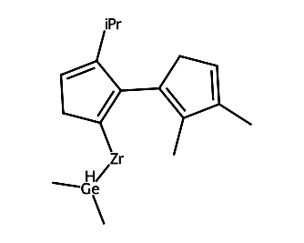 CC1=CCC(C2=[C]([Zr][GeH]([CH3])[CH3])CC=C2C(C)C)=C1C